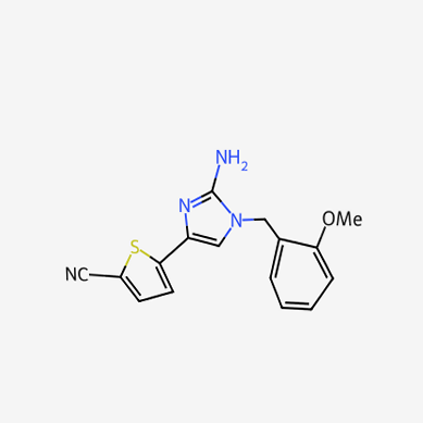 COc1ccccc1Cn1cc(-c2ccc(C#N)s2)nc1N